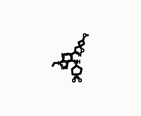 CCn1ncc2c(NC3CCS(=O)(=O)CC3)c(C3=NOC4(C3)CC(OC)C4)cnc21